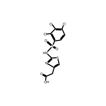 O=C(O)Cc1csc(NS(=O)(=O)c2ccc(Cl)c(Cl)c2Cl)n1